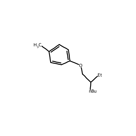 CCCCC(CC)COc1ccc(C)cc1